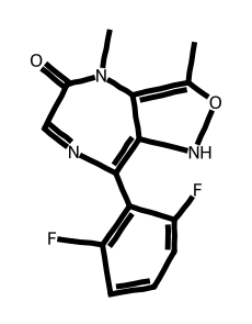 CC1=C2C(=C(c3c(F)cccc3F)N=CC(=O)N2C)NO1